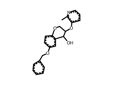 Cc1ncccc1OC1COc2ccc(OCc3ccccc3)cc2C1O